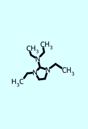 CCN(CC)C1N(CC)CCN1CC